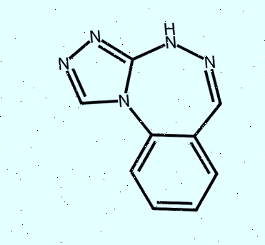 C1=NNc2nncn2-c2ccccc21